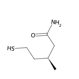 C[C@@H](CCS)CC(N)=O